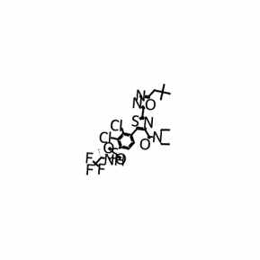 CCN(CC)C(=O)c1nc(-c2nnc(CC(C)(C)C)o2)sc1-c1ccc(S(=O)(=O)N[C@@H](C)C(F)(F)F)c(Cl)c1Cl